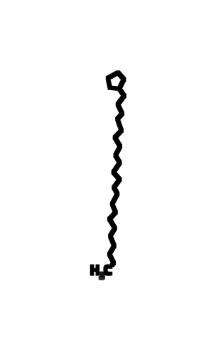 CCCCCCCCCCCCCCCCCCCCCCC1CCCC1